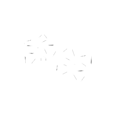 c1ccc2c(c1)Oc1cc(-c3ccc4c(c3)C3(c5ccccc5-c5ccccc53)c3ccccc3-4)ccc1C21c2ccccc2-c2ccccc21